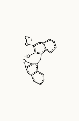 COc1cc2ccccc2c(Cc2c3c(cc4ccccc24)O3)c1O